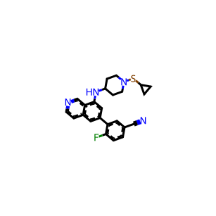 N#Cc1ccc(F)c(-c2cc(NC3CCN(SC4CC4)CC3)c3cnccc3c2)c1